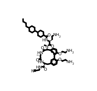 CCCCC1CCC(C2CCC(C(=O)N[C@@H](CCN)C(=O)N(C)[C@@H]3C(=O)N[C@@H](C)C(=O)N[C@H](C(=O)NCC#N)Cc4ccc(OCCN)c(c4)-c4cc3ccc4OCCN)CC2)CC1